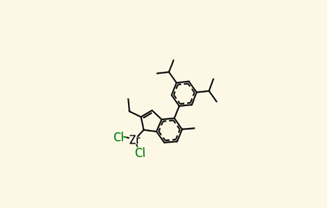 CCC1=Cc2c(ccc(C)c2-c2cc(C(C)C)cc(C(C)C)c2)[CH]1[Zr]([Cl])[Cl]